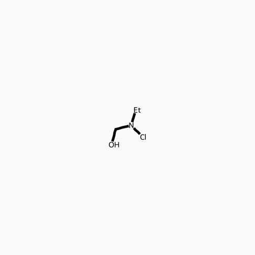 CCN(Cl)CO